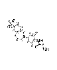 Cc1cc(N2CCCc3cc(S(C)(=O)=O)ccc3C2)cc(C)c1NC(=O)CC(C)(C)C